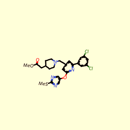 COC(=O)CC1CCN(Cc2cc(Oc3cnc(SC)nc3)nc(-c3cc(Cl)cc(Cl)c3)c2)CC1